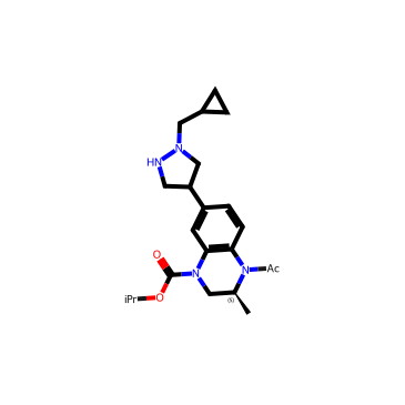 CC(=O)N1c2ccc(C3CNN(CC4CC4)C3)cc2N(C(=O)OC(C)C)C[C@@H]1C